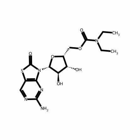 CCN(CC)C(=O)OC[C@H]1O[C@@H](n2c(=O)sc3cnc(N)nc32)[C@H](O)[C@H]1O